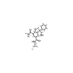 CNC(=O)c1cc(C(=O)N[C@H]2C[C@@H]2C)cc2c1OC[C@]2(CO)c1ccccc1